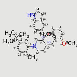 COc1cccc(C)c1/C=C1/CCN(c2cc(C(C)(C)C)ccc2C)C/C1=C(/C)c1ccc2[nH]ccc2c1